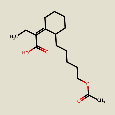 CCC(C(=O)O)=C1CCCCC1CCCCCOC(C)=O